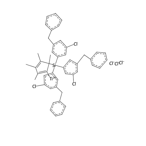 CC1=C(C)C(C)([Si](c2cc(Cl)cc(Cc3ccccc3)c2)(c2cc(Cl)cc(Cc3ccccc3)c2)c2cc(Cl)cc(Cc3ccccc3)c2)[C]([Ti+3])=C1C.[Cl-].[Cl-].[Cl-]